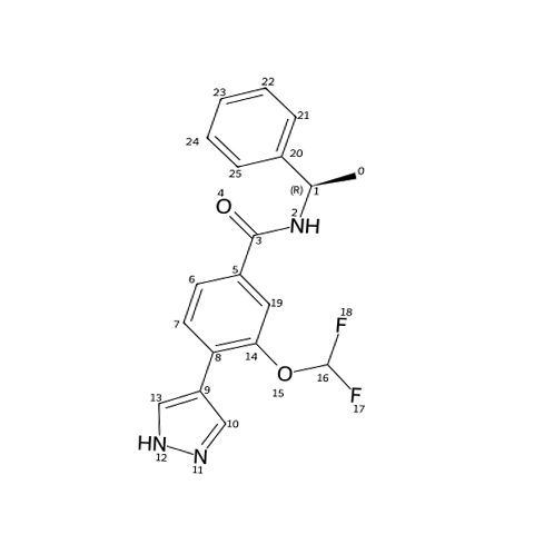 C[C@@H](NC(=O)c1ccc(-c2cn[nH]c2)c(OC(F)F)c1)c1ccccc1